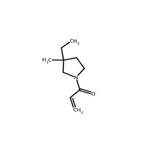 C=CC(=O)N1CCC(C)(CC)C1